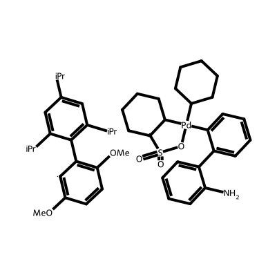 COc1[c]c(-c2c(C(C)C)cc(C(C)C)cc2C(C)C)c(OC)cc1.CS(=O)(=O)[O][Pd]([c]1ccccc1-c1ccccc1N)([CH]1CCCCC1)[CH]1CCCCC1